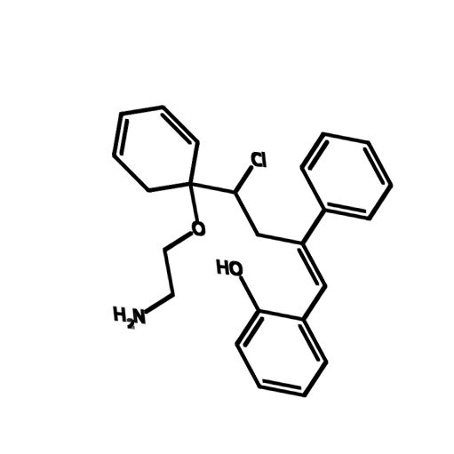 NCCOC1(C(Cl)CC(=Cc2ccccc2O)c2ccccc2)C=CC=CC1